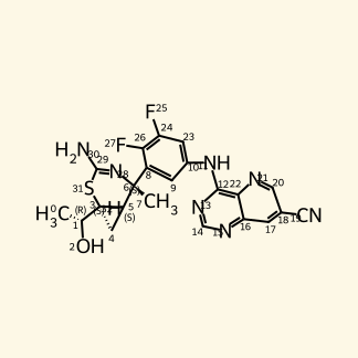 C[C@@H](O)[C@]12C[C@H]1[C@@](C)(c1cc(Nc3ncnc4cc(C#N)cnc34)cc(F)c1F)N=C(N)S2